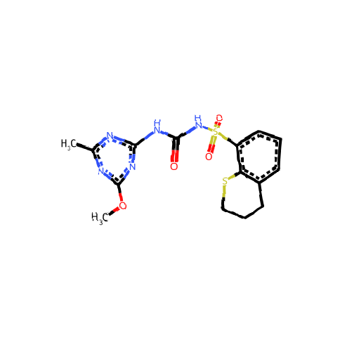 COc1nc(C)nc(NC(=O)NS(=O)(=O)c2cccc3c2SCCC3)n1